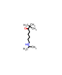 CC(C)NCCCCCC(=O)C(C)(C)C